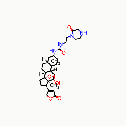 C[C@@]12CC[C@@H](NC(=O)NCCN3CCNCC3=O)C[C@H]1CC[C@@H]1[C@H]2C[C@@H](O)[C@@]2(C)[C@@H](C3=CC(=O)OC3)CC[C@@]12O